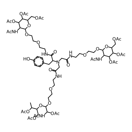 CC(=O)NC(OC(C)=O)C(OCCOCCNC(=O)CN(CC(=O)NCCOCCOC1OC(COC(C)=O)C(OC(C)=O)C(OC(C)=O)C1NC(C)=O)C(Cc1ccc(O)cc1)C(=O)NCCOCCOC1OC(COC(C)=O)C(OC(C)=O)C(OC(C)=O)C1NC(C)=O)OC(COC(C)=O)C(C)OC(C)=O